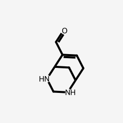 O=CC1=CCC2CC1NCN2